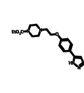 CCOC(=O)N1CCN(CCOc2ccc(-c3ccn[nH]3)cc2)CC1